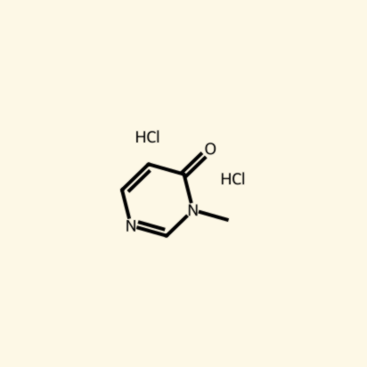 Cl.Cl.Cn1cnccc1=O